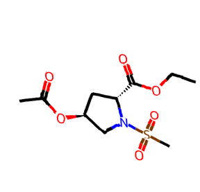 CCOC(=O)[C@H]1C[C@H](OC(C)=O)CN1S(C)(=O)=O